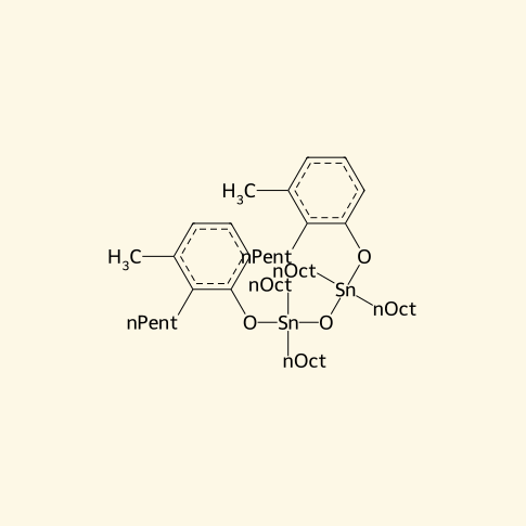 CCCCCCC[CH2][Sn]([CH2]CCCCCCC)([O]c1cccc(C)c1CCCCC)[O][Sn]([CH2]CCCCCCC)([CH2]CCCCCCC)[O]c1cccc(C)c1CCCCC